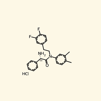 Cc1ccc(N(CCc2ccc(F)c(F)c2)C(=O)[C@@H](N)c2ccccc2)cc1C.Cl